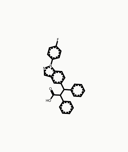 O=C(O)C(c1ccccc1)C(c1ccccc1)c1ccc2c(cnn2-c2ccc(F)cc2)c1